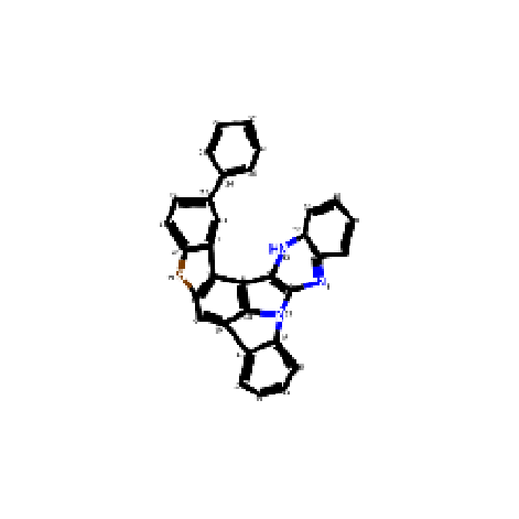 C1=CC2=Nc3c(c4c5c(cc6c7ccccc7n3c64)sc3ccc(-c4ccccc4)cc35)NC2C=C1